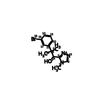 Cn1cnnc1C(O)C(C)(C)c1cccc(Br)c1